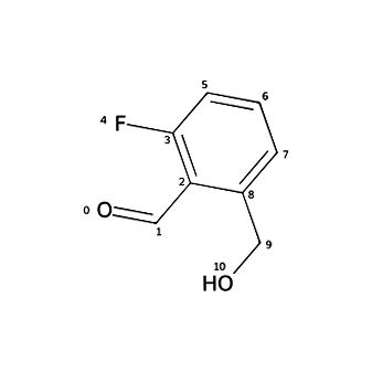 O=Cc1c(F)cccc1CO